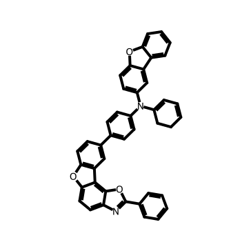 C1=CCCC(N(c2ccc(-c3ccc4oc5ccc6nc(-c7ccccc7)oc6c5c4c3)cc2)c2ccc3oc4ccccc4c3c2)=C1